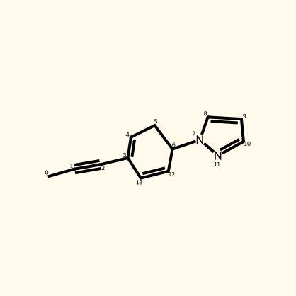 CC#CC1=CCC(n2cccn2)C=C1